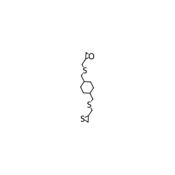 C1CC(CSCC2CS2)CCC1CSCC1CO1